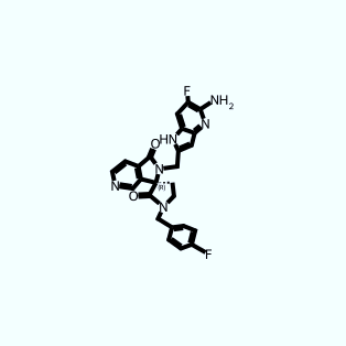 Nc1nc2cc(CN3C(=O)c4ccncc4[C@@]34CCN(Cc3ccc(F)cc3)C4=O)[nH]c2cc1F